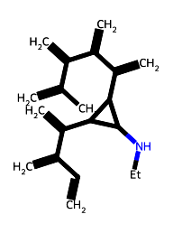 C=CC(=C)C(=C)C1C(NCC)C1C(=C)C(=C)C(=C)C(=C)C